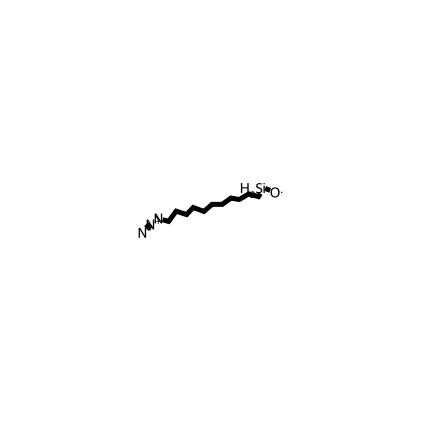 [N-]=[N+]=NCCCCCCCCCCC[SiH2][O]